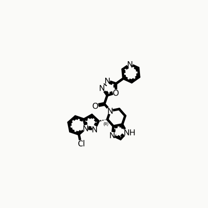 O=C(c1nnc(-c2cccnc2)o1)N1CCc2[nH]cnc2[C@@H]1c1cc2cccc(Cl)n2n1